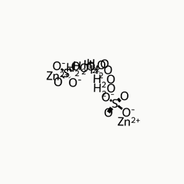 O.O.O.O.O.O.O.O=S(=O)([O-])[O-].O=S(=O)([O-])[O-].[Zn+2].[Zn+2]